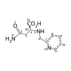 NC(=O)C[C@H](NCc1ccccn1)C(=O)O